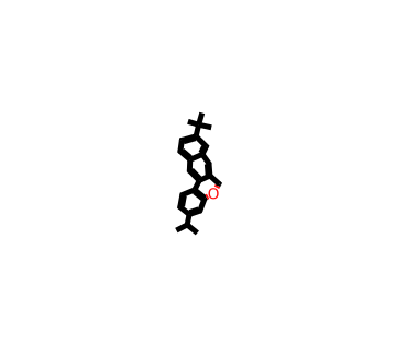 CC(C)c1ccc2c(c1)OCc1cc3cc(C(C)(C)C)ccc3cc1-2